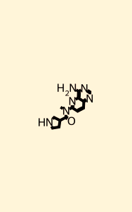 CN(C(=O)C1CCNC1)c1ccc2ncnc(N)c2n1